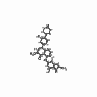 Cc1cc2c(F)c(Oc3ncnc(Nc4ccc(N5CCNCC5)c(F)c4)c3C(=O)N(C)C)cc(F)c2[nH]1